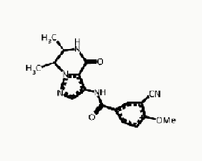 COc1ccc(C(=O)Nc2cnn3c2C(=O)N[C@H](C)[C@@H]3C)cc1C#N